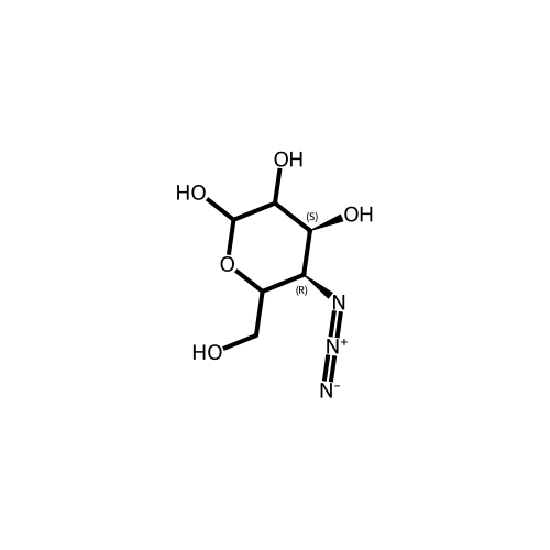 [N-]=[N+]=N[C@H]1C(CO)OC(O)C(O)[C@H]1O